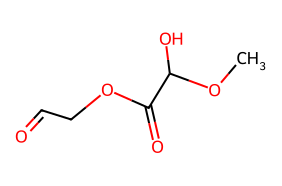 COC(O)C(=O)OCC=O